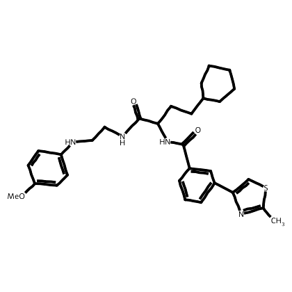 COc1ccc(NCCNC(=O)C(CCC2CCCCC2)NC(=O)c2cccc(-c3csc(C)n3)c2)cc1